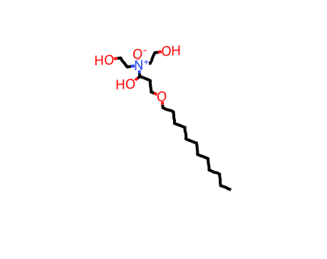 CCCCCCCCCCCCOCCC(O)[N+]([O-])(CCO)CCO